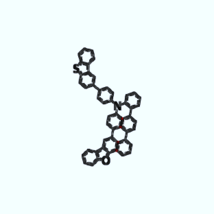 c1ccc(-c2ccc(-c3ccccc3N(c3ccc(-c4ccc5oc6ccccc6c5c4)cc3)c3ccc(-c4ccc5sc6ccccc6c5c4)cc3)cc2)cc1